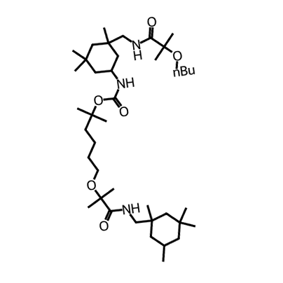 CCCCOC(C)(C)C(=O)NCC1(C)CC(NC(=O)OC(C)(C)CCCCOC(C)(C)C(=O)NCC2(C)CC(C)CC(C)(C)C2)CC(C)(C)C1